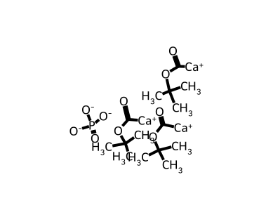 CC(C)(C)O[C](=O)[Ca+].CC(C)(C)O[C](=O)[Ca+].CC(C)(C)O[C](=O)[Ca+].O=P([O-])([O-])[O-]